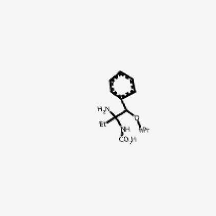 CCCOC(c1ccccc1)C(N)(CC)NC(=O)O